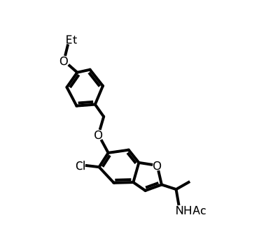 CCOc1ccc(COc2cc3oc(C(C)NC(C)=O)cc3cc2Cl)cc1